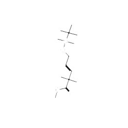 COC(=O)C(C)(C)C=CCO[Si](C)(C)C(C)(C)C